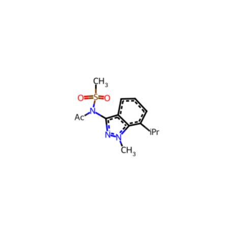 CC(=O)N(c1nn(C)c2c(C(C)C)cccc12)S(C)(=O)=O